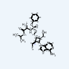 CC(C)OC(=O)C(C)NP(=O)(OC[C@H]1/C(=C/F)[C@@H](n2cnc3c(N)ncnc32)[C@@H]1CO)Oc1ccccc1